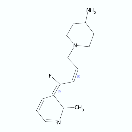 CC1N=CC=C/C1=C(F)/C=C\CN1CCC(N)CC1